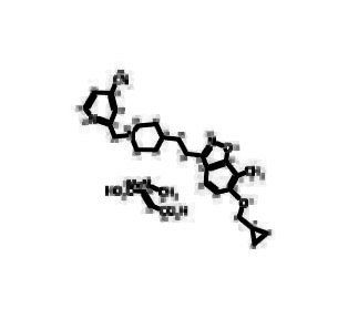 CNC.Cc1c(OCC2CC2)ccc2c(CCC3CCN(Cc4cc(C#N)ccn4)CC3)noc12.O=C(O)C=CC(=O)O